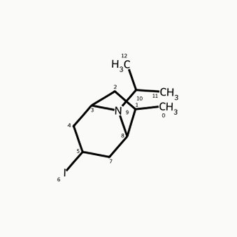 CC1CC2CC(I)CC1N2C(C)C